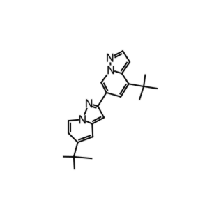 CC(C)(C)c1ccn2nc(-c3cc(C(C)(C)C)c4ccnn4c3)cc2c1